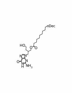 CCCCCCCCCCCCCCCCCCCC(=O)OCC(CCO)Cn1cnc2c(=O)[nH]c(N)nc21